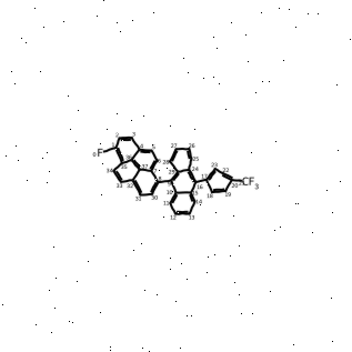 Fc1ccc2ccc3c(-c4c5ccccc5c(-c5ccc(C(F)(F)F)cc5)c5ccccc45)ccc4ccc1c2c43